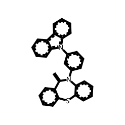 C=C1c2ccccc2Sc2ccccc2N1c1cccc(-n2c3ccccc3c3ccccc32)c1